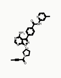 CC#CC(=O)N1CC[C@@H](n2nc(-c3ccc(C(=O)Nc4cc(C)ccn4)cc3)c3c(N)ncnc32)C1